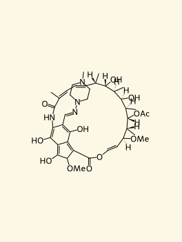 COC1C2=c3c(O)c(/C=N/N4CCN(C)CC4)c(c(O)c3=C1O)NC(=O)/C(C)=C\C=C\[C@H](C)[C@H](O)[C@@H](C)[C@@H](O)[C@@H](C)[C@H](OC(C)=O)[C@H](C)[C@@H](OC)/C=C/OC2=O